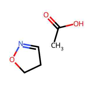 C1=NOCC1.CC(=O)O